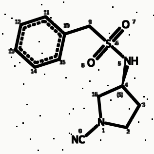 N#CN1CC[C@H](NS(=O)(=O)Cc2ccccc2)C1